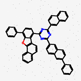 c1ccc(-c2ccc3cc(-c4nc(-c5ccc6ccccc6c5)nc(-c5ccc(-c6ccccc6)c6oc7c8ccccc8ccc7c56)n4)ccc3c2)cc1